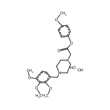 COc1ccc(OC(=O)CN2CCN(Cc3ccc(OC)c(OC)c3OC)CC2)cc1.Cl.Cl